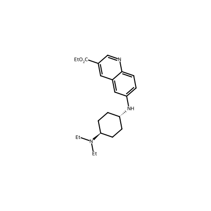 CCOC(=O)c1cnc2ccc(N[C@H]3CC[C@H](N(CC)CC)CC3)cc2c1